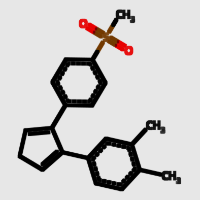 Cc1ccc(C2=CCC=C2c2ccc(S(C)(=O)=O)cc2)cc1C